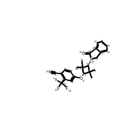 CC1(C)[C@H](Oc2ccc(C#N)c(C(F)(F)F)c2)C(C)(C)[C@H]1N1Cc2ccccc2C1=O